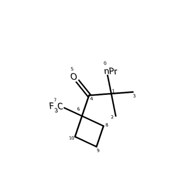 CCCC(C)(C)C(=O)C1(C(F)(F)F)CCC1